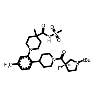 CC1(C(=O)NS(C)(=O)=O)CCN(c2cc(C(F)(F)F)ccc2C2CCN(C(=O)[C@@]3(F)CCN(C(C)(C)C)C3)CC2)CC1